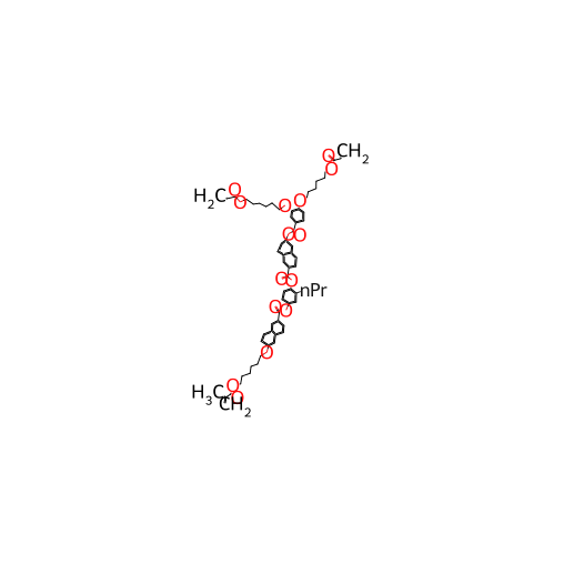 C=CC(=O)OCCCCCCOc1ccc(C(=O)Oc2ccc3cc(C(=O)Oc4ccc(OC(=O)c5ccc6cc(OCCCCCCOC(=O)C(=C)C)ccc6c5)cc4CCC)ccc3c2)cc1OCCCCCCOC(=O)C=C